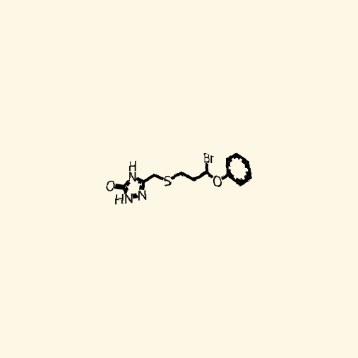 O=c1[nH]nc(CSCCC(Br)Oc2ccccc2)[nH]1